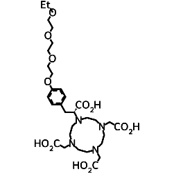 CCOCCOCCOCCOc1ccc(C[C@H](C(=O)O)N2CCN(CC(=O)O)CCN(CC(=O)O)CCN(CC(=O)O)CC2)cc1